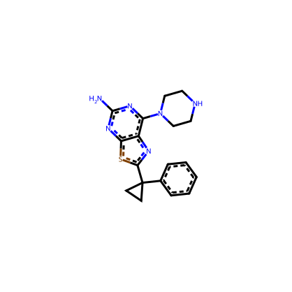 Nc1nc(N2CCNCC2)c2nc(C3(c4ccccc4)CC3)sc2n1